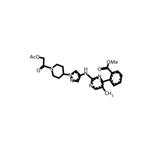 COC(=O)c1ccccc1-c1nc(Nc2cnn(C3CCN(C(=O)COC(C)=O)CC3)c2)ncc1C